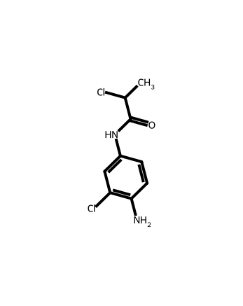 CC(Cl)C(=O)Nc1ccc(N)c(Cl)c1